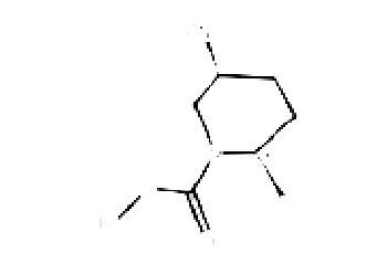 [C-]#[N+][C@H]1CC[C@@H](C)N(C(=O)OC(C)(C)C)C1